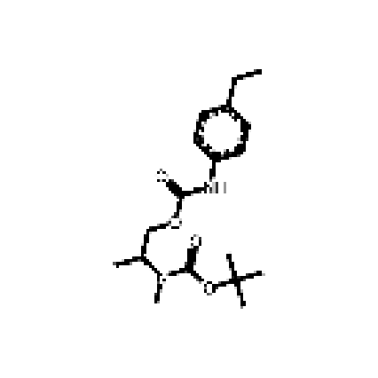 CCc1ccc(NC(=O)OCC(C)N(C)C(=O)OC(C)(C)C)cc1